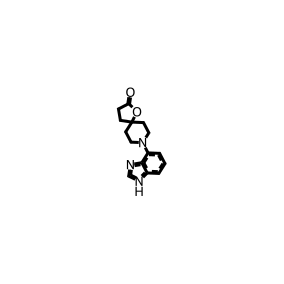 O=C1CCC2(CCN(c3cccc4[nH]cnc34)CC2)O1